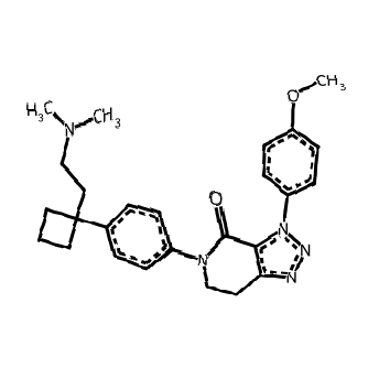 COc1ccc(-n2nnc3c2C(=O)N(c2ccc(C4(CCN(C)C)CCC4)cc2)CC3)cc1